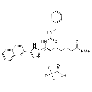 CNC(=O)CCCCC[C@H](NC(=O)NCc1ccccc1)c1ncc(-c2ccc3ccccc3c2)[nH]1.O=C(O)C(F)(F)F